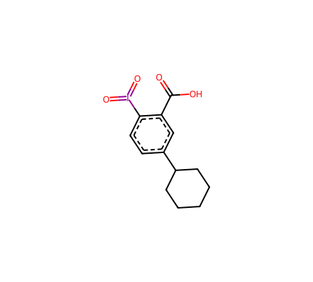 O=C(O)c1cc(C2CCCCC2)ccc1I(=O)=O